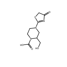 O=C1CSC(N2CCN(C(=O)O)C(CO)C2)=N1